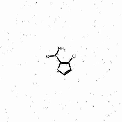 N[S+]([O-])c1sccc1Cl